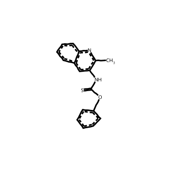 Cc1nc2ccccc2cc1NC(=S)Oc1ccccc1